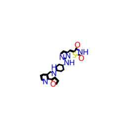 O=C1NC(=O)C(=Cc2ccnc(N[C@H]3CC[C@H](NCc4cccnc4-c4ccco4)CC3)n2)S1